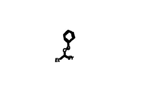 CCC(OOc1ccccc1)C(C)C